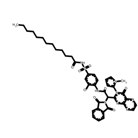 CCCCCCCCCCCCC(=O)NS(=O)(=O)c1ccc(NC(=O)C(c2nc3nccnc3c(=O)n2-c2cccn2C)N2C(=O)c3ccccc3C2=O)c(Cl)c1